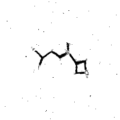 CN(CCC(F)F)C1COC1